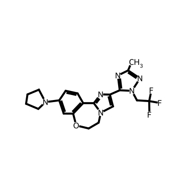 Cc1nc(-c2cn3c(n2)-c2ccc(N4CCCC4)cc2OCC3)n(CC(F)(F)F)n1